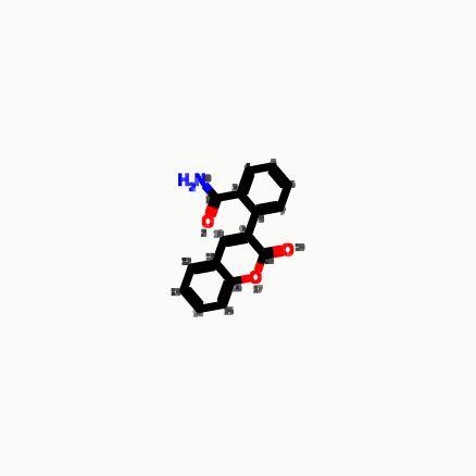 NC(=O)c1ccccc1-c1cc2ccccc2oc1=O